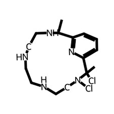 CC1NCCNCCNCCN(Cl)C(C)(Cl)c2cccc1n2